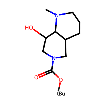 CN1CCCC2CN(C(=O)OC(C)(C)C)CC(O)C21